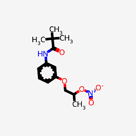 CC(COc1cccc(NC(=O)C(C)(C)C)c1)O[N+](=O)[O-]